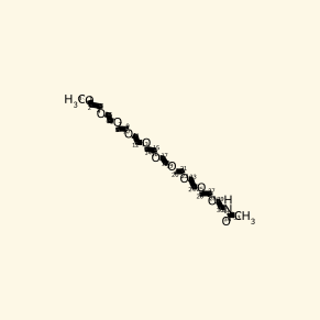 COCCOCCOCCOCCOCCOCCOCCOCCOCCOCCNC(C)=O